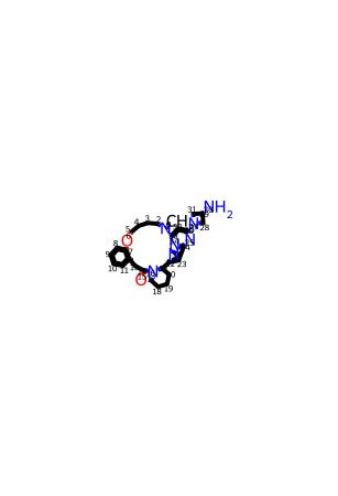 CN1CCCCOc2ccccc2CC(=O)N2CCCCC2c2cc3nc(N4CC(N)C4)cc1n3n2